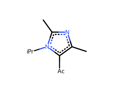 CC(=O)c1c(C)nc(C)n1C(C)C